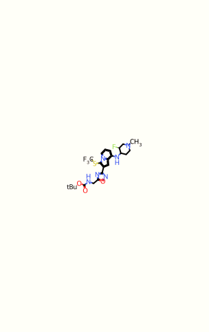 CN1CCC(Nc2cccn3c(SC(F)(F)F)c(-c4noc(CNC(=O)OC(C)(C)C)n4)cc23)[C@@H](F)C1